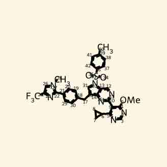 COc1ncnc(C2CC2)c1-c1ncc2c(n1)c(Cc1ccc(-c3nc(C(F)(F)F)cn3C)cc1)cn2S(=O)(=O)c1ccc(C)cc1